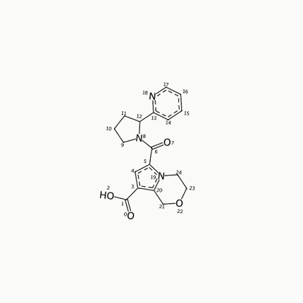 O=C(O)c1cc(C(=O)N2CCCC2c2ccccn2)n2c1COCC2